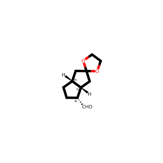 O=C[C@@H]1CC[C@@H]2CC3(C[C@@H]21)OCCO3